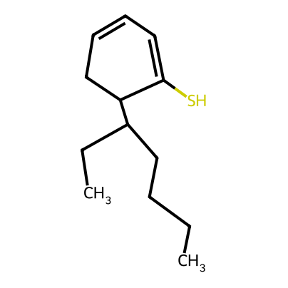 CCCCC(CC)C1CC=CC=C1S